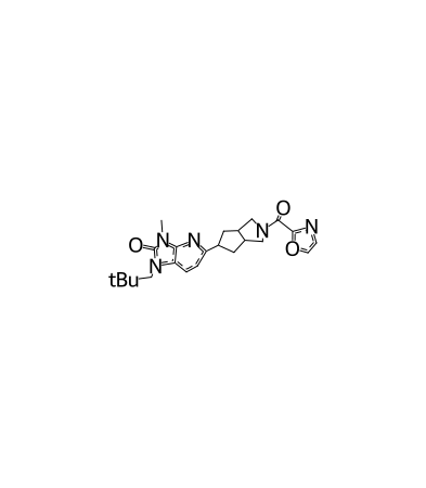 Cn1c(=O)n(CC(C)(C)C)c2ccc(C3CC4CN(C(=O)c5ncco5)CC4C3)nc21